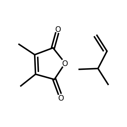 C=CC(C)C.CC1=C(C)C(=O)OC1=O